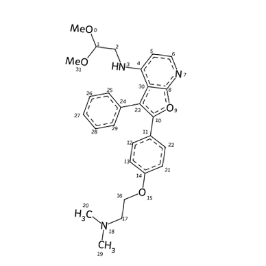 COC(CNc1ccnc2oc(-c3ccc(OCCN(C)C)cc3)c(-c3ccccc3)c12)OC